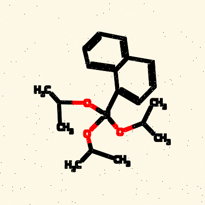 CC(C)O[Si](OC(C)C)(OC(C)C)c1cccc2ccccc12